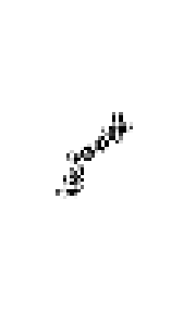 CC(C)(C)OC(=O)C1(C)CCN(C(=O)C2CCN(c3ccc(C4CCC(=O)NC4=O)cc3)CC2)CC1